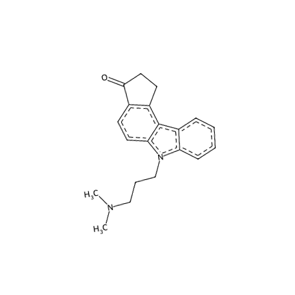 CN(C)CCCn1c2ccccc2c2c3c(ccc21)C(=O)CC3